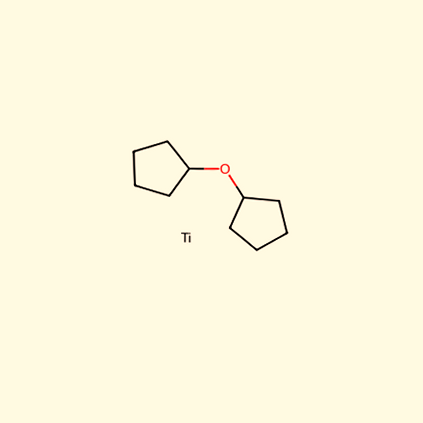 C1CCC(OC2CCCC2)C1.[Ti]